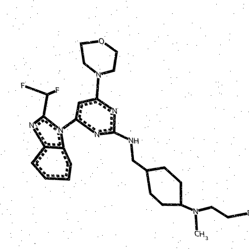 CN(CCF)C1CCC(CNc2nc(N3CCOCC3)cc(-n3c(C(F)F)nc4ccccc43)n2)CC1